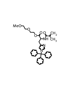 C=C(C)C(=O)NC(Cc1cn(C(c2ccccc2)(c2ccccc2)c2ccccc2)cn1)C(=O)OCCOCCOC